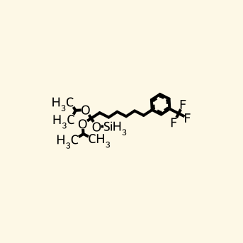 CC(C)OC(CCCCCCc1cccc(C(F)(F)F)c1)(O[SiH3])OC(C)C